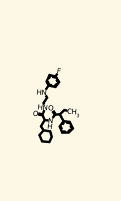 CCC(C(=O)NC(CC1CCCCC1)C(=O)NCCNc1ccc(F)cc1)c1ccccc1